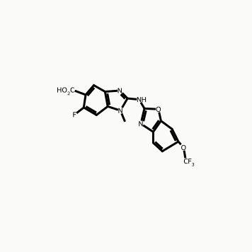 Cn1c(Nc2nc3ccc(OC(F)(F)F)cc3o2)nc2cc(C(=O)O)c(F)cc21